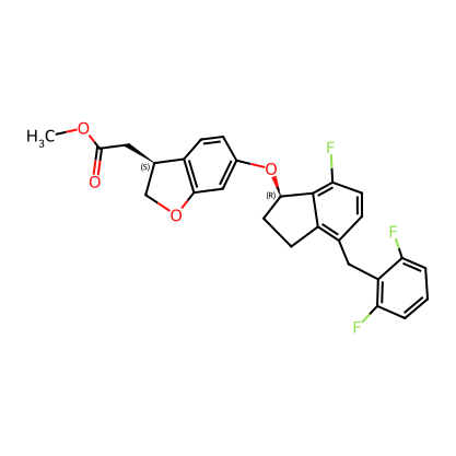 COC(=O)C[C@@H]1COc2cc(O[C@@H]3CCc4c(Cc5c(F)cccc5F)ccc(F)c43)ccc21